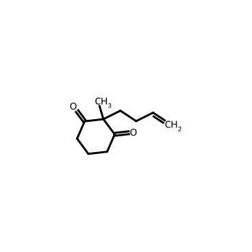 C=CCCC1(C)C(=O)CCCC1=O